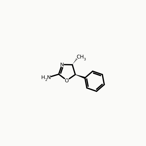 C[C@H]1N=C(N)O[C@@H]1c1ccccc1